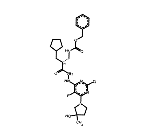 CC1(O)CCN(c2nc(Cl)nc(NNC(=O)[C@@H](CNC(=O)OCc3ccccc3)CC3CCCC3)c2F)C1